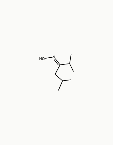 CC(C)C/C(=N\O)C(C)C